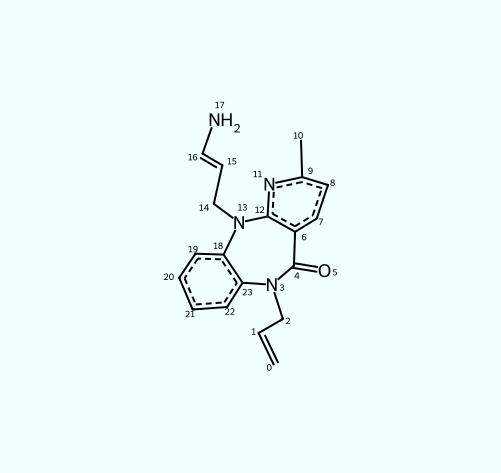 C=CCN1C(=O)c2ccc(C)nc2N(CC=CN)c2ccccc21